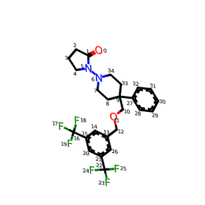 O=C1CCCN1N1CCC(COCc2cc(C(F)(F)F)cc(C(F)(F)F)c2)(c2ccccc2)CC1